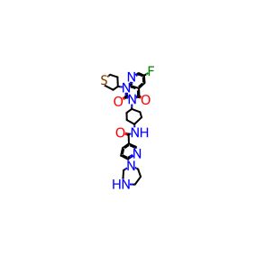 O=C(NC1CCC(n2c(=O)c3cc(F)cnc3n(C3CCSCC3)c2=O)CC1)c1ccc(N2CCCNCC2)nc1